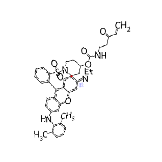 C=CC(=O)CCNC(=O)OC1CCN(S(=O)(=O)c2ccccc2-c2c3cc/c(=N\CC)cc-3oc3cc(Nc4c(C)cccc4C)ccc23)CC1